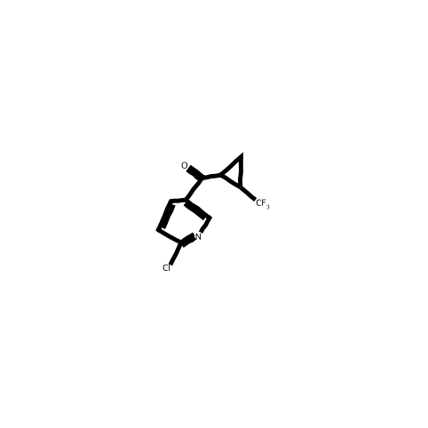 O=C(c1ccc(Cl)nc1)C1CC1C(F)(F)F